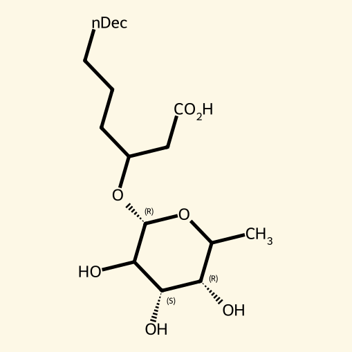 CCCCCCCCCCCCCC(CC(=O)O)O[C@@H]1OC(C)[C@H](O)[C@H](O)C1O